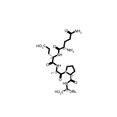 CC[C@H](C)[C@H](NC(=O)[C@@H]1CCCN1C(=O)[C@H](C)NC(=O)[C@H](CCC(=O)O)NC(=O)[C@@H](N)CCC(N)=O)C(=O)O